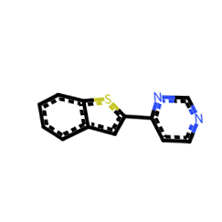 c1ccc2sc(-c3ccncn3)cc2c1